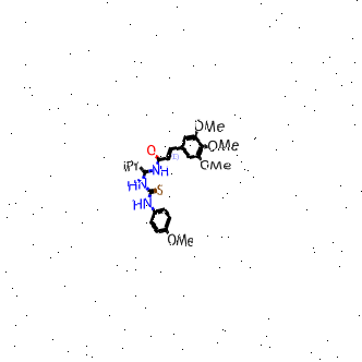 COc1ccc(NC(=S)NC(NC(=O)/C=C/c2cc(OC)c(OC)c(OC)c2)C(C)C)cc1